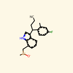 Cc1cc(F)ccc1C(CCC#N)c1c[nH]c2c(C[S+](C)[O-])cccc12